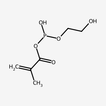 C=C(C)C(=O)OP(O)OCCO